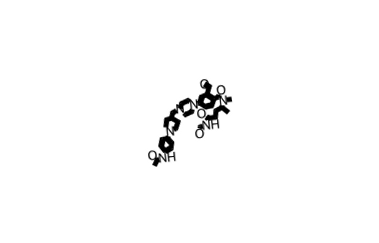 CC(=O)Nc1ccc(N2CCC(CN3CCN(c4ccc(C(=O)N(C)C(C)CCC(=O)NC=O)c(C=O)c4)CC3)CC2)cc1